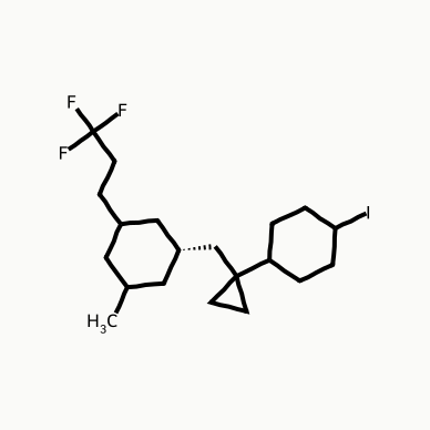 CC1CC(CCC(F)(F)F)C[C@H](CC2(C3CCC(I)CC3)CC2)C1